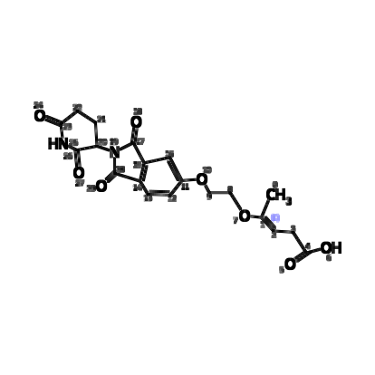 C/C(=C\CC(=O)O)OCCOc1ccc2c(c1)C(=O)N(C1CCC(=O)NC1=O)C2=O